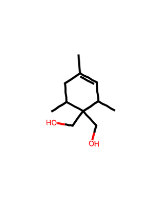 CC1=CC(C)C(CO)(CO)C(C)C1